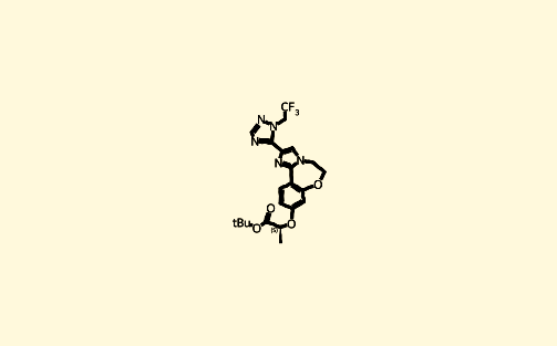 C[C@H](Oc1ccc2c(c1)OCCn1cc(-c3ncnn3CC(F)(F)F)nc1-2)C(=O)OC(C)(C)C